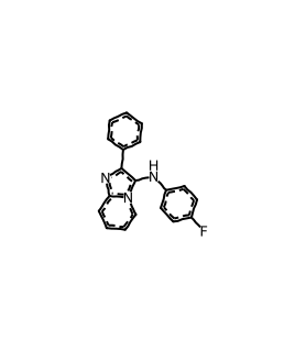 Fc1ccc(Nc2c(-c3ccccc3)nc3ccccn23)cc1